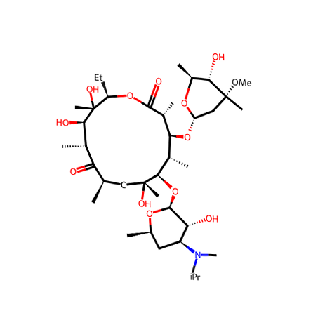 CC[C@H]1OC(=O)[C@H](C)[C@@H](O[C@H]2C[C@@](C)(OC)[C@@H](O)[C@H](C)O2)[C@H](C)[C@@H](O[C@@H]2O[C@H](C)C[C@H](N(C)C(C)C)[C@H]2O)[C@](C)(O)C[C@@H](C)C(=O)[C@H](C)[C@@H](O)[C@]1(C)O